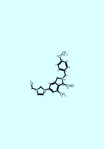 Cc1cc(N2C=CN(CCl)C2)cc2c1C(C=O)N(Cc1ccc(OC(F)(F)F)cc1)C2